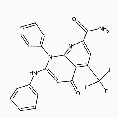 NC(=O)c1cc(C(F)(F)F)c2c(=O)cc(Nc3ccccc3)n(-c3ccccc3)c2n1